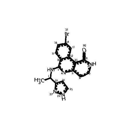 CC(Nc1nc2cc[nH]c(=O)c2c2cc(Br)ccc12)c1cc[nH]n1